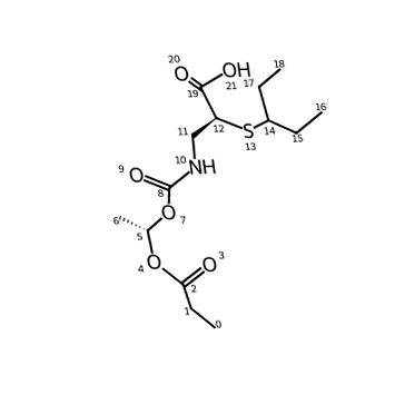 CCC(=O)O[C@H](C)OC(=O)NC[C@H](SC(CC)CC)C(=O)O